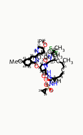 CC[C@@H]1C[C@H](C)CC/C=C\[C@@H]2C[C@@]2(C(=O)NS(=O)(=O)C2CC2)NC(=O)[C@@H]2C[C@@H](Oc3nc(-c4ccc(OC(C)C)cn4)cc4cc(OC)ccc34)CN2C(=O)[C@H]1N(C(=O)O)C(C)(C)C(C)(F)F